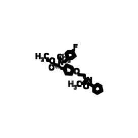 CCOC(=O)[C@H](Cc1ccc(OCCc2nc(-c3ccccc3)oc2C)cc1)N(C)Cc1ccc(F)cc1